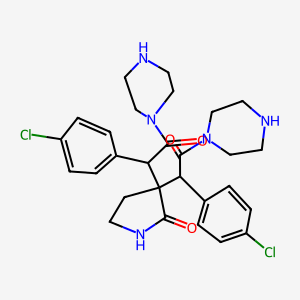 O=C(C(c1ccc(Cl)cc1)C1(C(C(=O)N2CCNCC2)c2ccc(Cl)cc2)CCNC1=O)N1CCNCC1